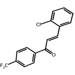 O=C(C=Cc1ccccc1Cl)c1ccc(C(F)(F)F)cc1